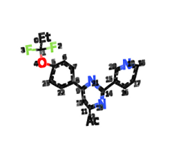 CCC(F)(F)Oc1ccc(-c2cc(C(C)=O)nc(-c3cccnc3)n2)cc1